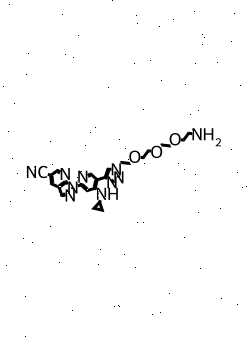 N#Cc1cnc2c(cnn2-c2cc(NC3CC3)c(-c3cn(CCOCCOCCOCCN)nn3)cn2)c1